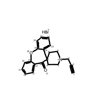 Br.C#CCN1CCC2(CC1)C(=O)c1ccccc1Oc1ccccc12